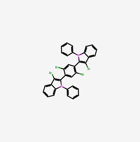 Brc1cc(-c2c(Br)c3ccccc3p2-c2ccccc2)c(Br)cc1-c1c(Br)c2ccccc2p1-c1ccccc1